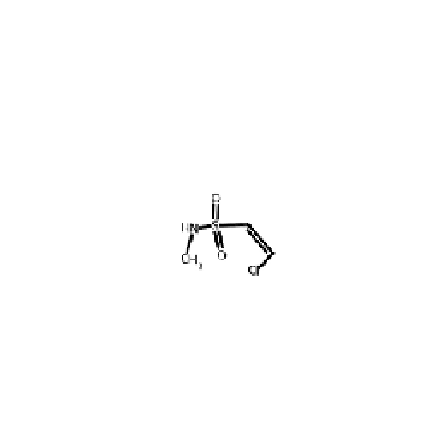 CNS(=O)(=O)/C=C\Cl